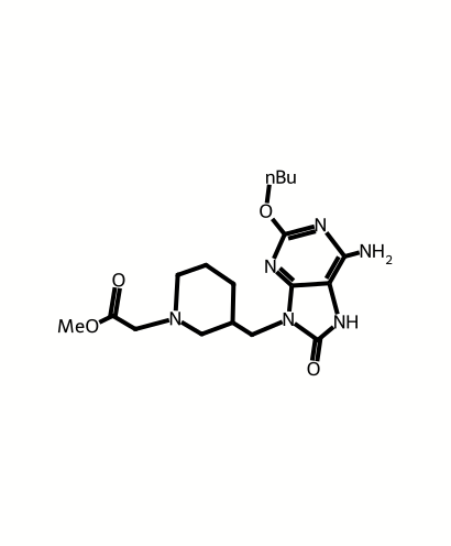 CCCCOc1nc(N)c2[nH]c(=O)n(CC3CCCN(CC(=O)OC)C3)c2n1